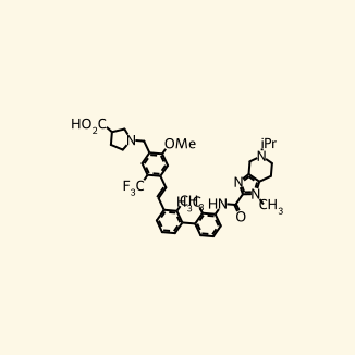 COc1cc(C=Cc2cccc(-c3cccc(NC(=O)c4nc5c(n4C)CCN(C(C)C)C5)c3C)c2C)c(C(F)(F)F)cc1CN1CCC(C(=O)O)C1